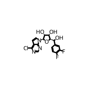 OC(c1ccc(F)c(F)c1)[C@H]1O[C@@H](n2ccc3c(Cl)ncnc32)[C@H](O)[C@@H]1O